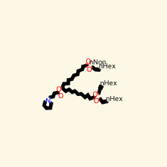 CCCCCCC#CCOC(CCCCCCCCCC(CCCCCCCCCC(OC/C=C\CCCCCC)OCCCCCCCCC)OC(=O)CCCN1CCCCC1)OC/C=C\CCCCCC